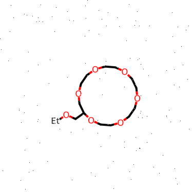 CCOCC1COCCOCCOCCOCCOCCO1